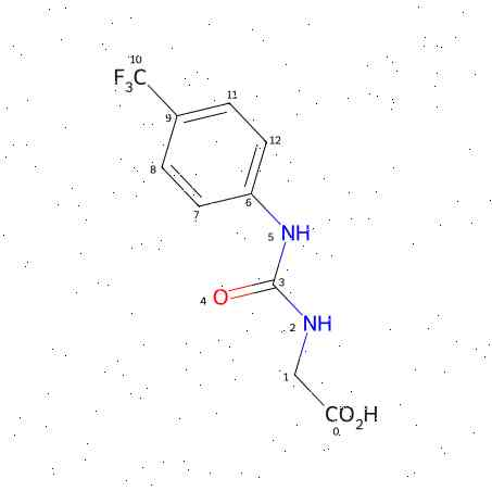 O=C(O)CNC(=O)Nc1ccc(C(F)(F)F)cc1